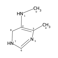 CNC1=C(C)N=CNC1